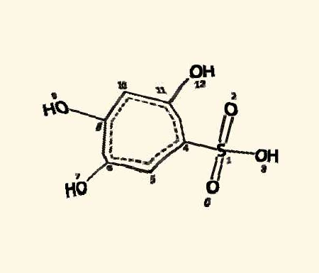 O=S(=O)(O)c1cc(O)c(O)cc1O